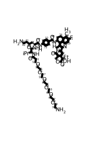 CC[C@@]1(O)C(=O)OCc2c1cc1n(c2=O)Cc2c-1nc1cc(F)c(C)c3c1c2[C@@H](NC(=O)c1ccc(NC(=O)[C@H](CCCCN)NC(=O)C(NC(=O)CCOCCOCCOCCOCCOCCOCCN)C(C)C)cc1)CC3